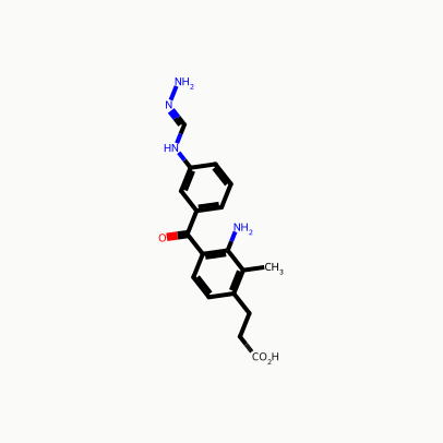 Cc1c(CCC(=O)O)ccc(C(=O)c2cccc(NC=NN)c2)c1N